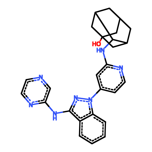 OC12CC3CC(C1)C(Nc1cc(-n4nc(Nc5cnccn5)c5ccccc54)ccn1)C(C3)C2